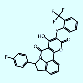 O=c1oc2c(c(O)c1Sc1ccccc1C(F)(F)F)c(=O)n1c3c(cccc23)CC1c1ccc(F)cc1